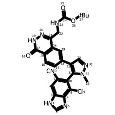 [C-]#[N+]c1cc2[nH]cnc2c(Cl)c1-c1c(-c2ccc3c(=O)[nH]nc(CNC(=O)OC(C)(C)C)c3c2)cnn1C